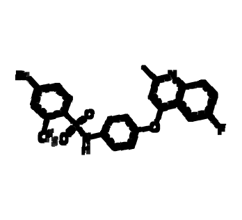 Cc1cc(Oc2ccc(NS(=O)(=O)c3ccc(Br)cc3C(F)(F)F)cc2)c2cc(F)ccc2n1